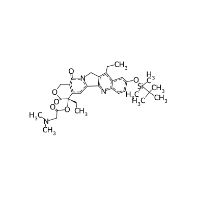 CCc1c2c(nc3ccc(O[Si](C)(C)C(C)(C)C)cc13)-c1cc3c(c(=O)n1C2)COC(=O)[C@@]3(CC)OC(=O)CN(C)C